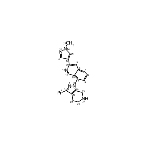 CC(C)c1nn(-c2cccc3cc(-c4cnn(C)c4)ncc23)c2c1CCNC2